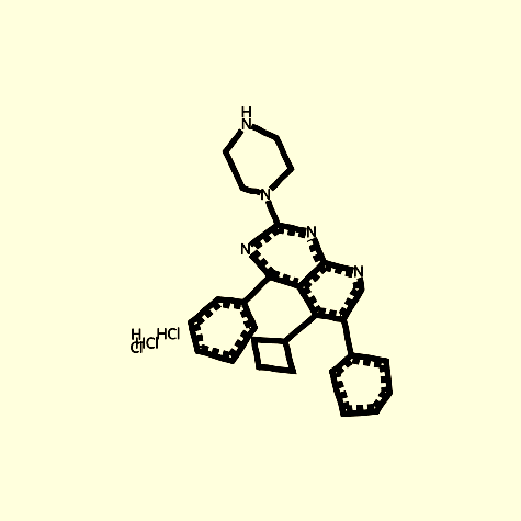 Cl.Cl.Cl.c1ccc(-c2cnc3nc(N4CCNCC4)nc(-c4ccccc4)c3c2C2CCC2)cc1